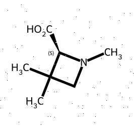 CN1CC(C)(C)[C@H]1C(=O)O